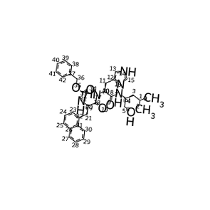 CC(C)C[C@@H](CO)NC(=O)[C@H](Cc1c[nH]cn1)NC(=O)[C@@H](Cc1cccc2ccccc12)NC(=O)OCc1ccccc1